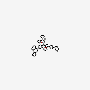 c1ccc(-c2ccc(-c3ccc(N(c4ccc5c(c4)oc4ccccc45)c4c(-c5ccccc5)cc(-c5cc6ccccc6c6ccccc56)cc4-c4ccccc4)cc3)cc2)cc1